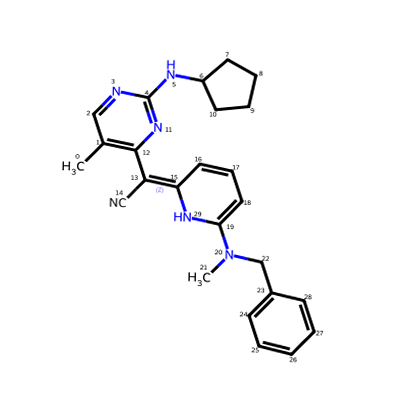 Cc1cnc(NC2CCCC2)nc1/C(C#N)=C1\C=CC=C(N(C)Cc2ccccc2)N1